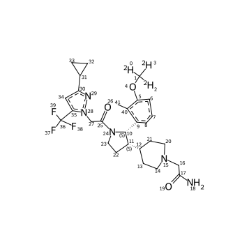 [2H]C([2H])([2H])Oc1cccc([C@@H]2[C@H](C3CCN(CC(N)=O)CC3)CCN2C(=O)Cn2nc(C3CC3)cc2C(F)(F)F)c1C